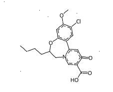 CCCCC1Cn2cc(C(=O)O)c(=O)cc2-c2cc(Cl)c(OC)cc2O1